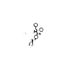 C[C@H]1CC[C@H](C(=O)N(c2cc(C3=CCCCC3)sc2C(=O)O)C2CCC(OC(=O)N3CCOCC3)CC2)CC1